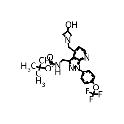 CC(C)(C)OC(=O)NCc1nn(-c2ccc(OC(F)(F)F)cc2)c2nccc(CN3CC(O)C3)c12